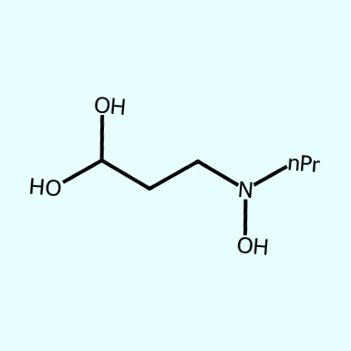 CCCN(O)CCC(O)O